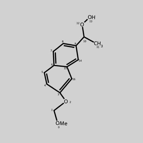 COCOc1ccc2ccc(C(C)OO)cc2c1